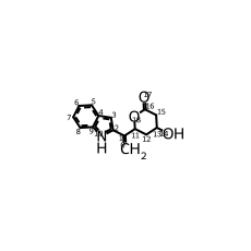 C=C(c1cc2ccccc2[nH]1)C1CC(O)CC(=O)O1